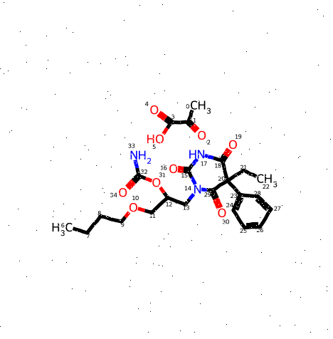 CC(=O)C(=O)O.CCCCOCC(CN1C(=O)NC(=O)C(CC)(c2ccccc2)C1=O)OC(N)=O